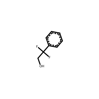 OCC(F)(F)c1cc[c]cc1